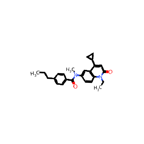 CCCc1ccc(C(=O)N(C)c2ccc3c(c2)c(C2CC2)cc(=O)n3CC)cc1